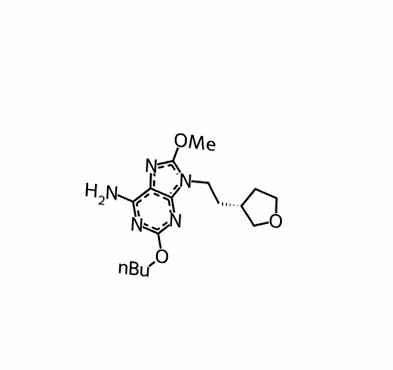 CCCCOc1nc(N)c2nc(OC)n(CC[C@@H]3CCOC3)c2n1